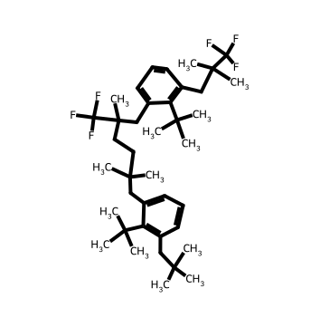 CC(C)(C)Cc1cccc(CC(C)(C)CCC(C)(Cc2cccc(CC(C)(C)C(F)(F)F)c2C(C)(C)C)C(F)(F)F)c1C(C)(C)C